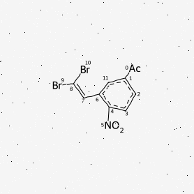 CC(=O)c1ccc([N+](=O)[O-])c(C=C(Br)Br)c1